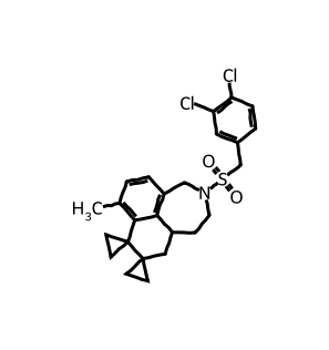 Cc1ccc2c3c1C1(CC1)C1(CC1)CC3CCN(S(=O)(=O)Cc1ccc(Cl)c(Cl)c1)C2